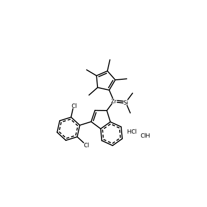 CC1=C(C)C(C)[C]([Zr]([CH]2C=C(c3c(Cl)cccc3Cl)c3ccccc32)=[Si](C)C)=C1C.Cl.Cl